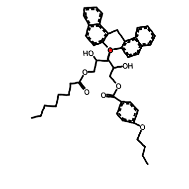 CCCCCCCC(=O)OCC(O)COc1ccc2ccccc2c1Cc1c(OCC(O)COC(=O)c2ccc(OCCCC)cc2)ccc2ccccc12